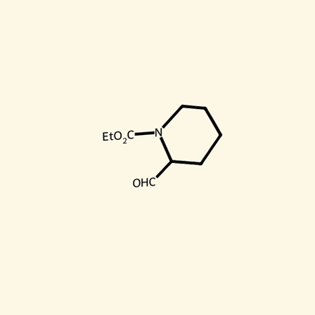 CCOC(=O)N1CCCCC1C=O